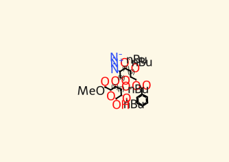 CCCCOC1C(O)OC(C(=O)OC)[C@@H](O[C@H]2OC(COC(=O)c3ccccc3)[C@@H](OCCCC)[C@H](OCCCC)C2N=[N+]=[N-])[C@@H]1OCCCC